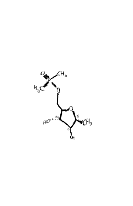 C[C@@H]1OC(COP(C)(C)=O)[C@@H](O)[C@@H]1O